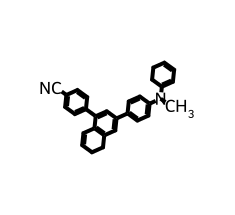 CN(C1=CC=CCC1)c1ccc(-c2cc3c(c(-c4ccc(C#N)cc4)c2)C=CCC3)cc1